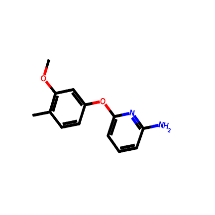 COc1cc(Oc2cccc(N)n2)ccc1C